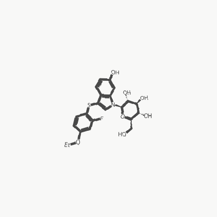 CCOc1ccc(Sc2cn([C@@H]3O[C@H](CO)[C@@H](O)[C@H](O)[C@H]3O)c3cc(O)ccc23)c(F)c1